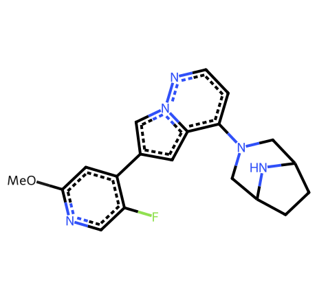 COc1cc(-c2cc3c(N4CC5CCC(C4)N5)ccnn3c2)c(F)cn1